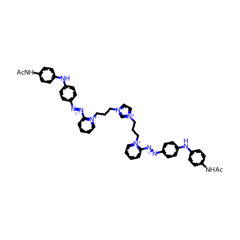 CC(=O)Nc1ccc(Nc2ccc(/N=N/c3cccc[n+]3CCCn3cc[n+](CCC[n+]4ccccc4/N=N/c4ccc(Nc5ccc(NC(C)=O)cc5)cc4)c3)cc2)cc1